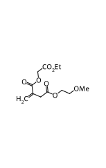 C=C(CC(=O)OCCOC)C(=O)OCC(=O)OCC